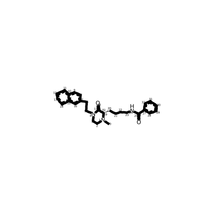 CN1CCN(CCc2ccc3ccccc3c2)C(=O)[C@@H]1CCCCNC(=O)c1ccccc1